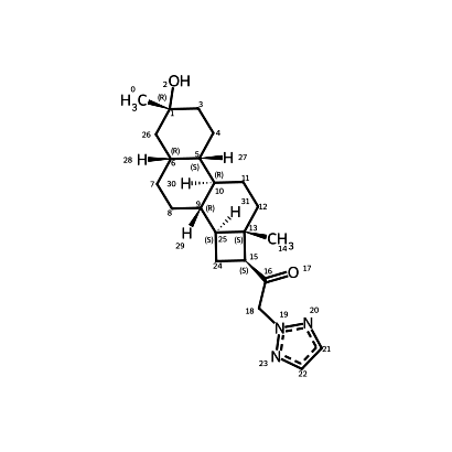 C[C@@]1(O)CC[C@H]2[C@H](CC[C@@H]3[C@@H]2CC[C@]2(C)[C@@H](C(=O)Cn4nccn4)C[C@@H]32)C1